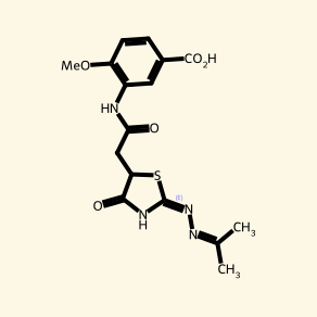 COc1ccc(C(=O)O)cc1NC(=O)CC1S/C(=N/N=C(C)C)NC1=O